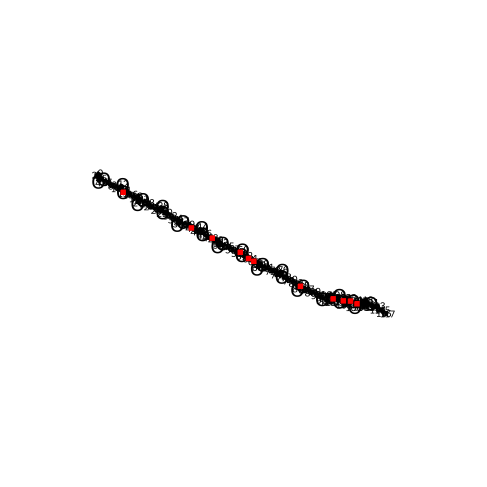 C=C(C)C(=O)OCCCCCC(=O)OCCCCCC(=O)OCCCCCC(=O)OCCCCCC(=O)OCCCCCC(=O)OCCCCCC(=O)OCCCCCC(=O)OCCCCCC(=O)OCCCCCC(=O)OCCCCCC(=O)OCCCCCCO[C@H]1CC[C@H](C(=O)Oc2ccc(OC(=O)c3ccc(OCCCCCC)cc3)cc2)CC1